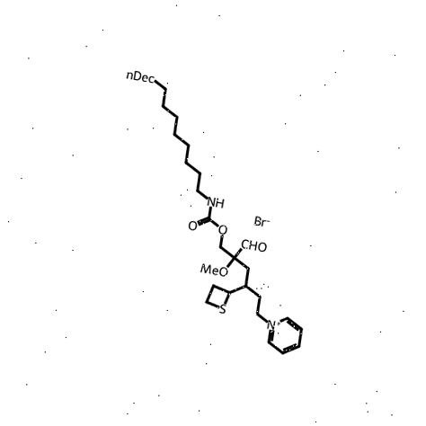 CCCCCCCCCCCCCCCCCCNC(=O)OCC(C=O)(CC(CC[n+]1ccccc1)C1CCS1)OC.[Br-]